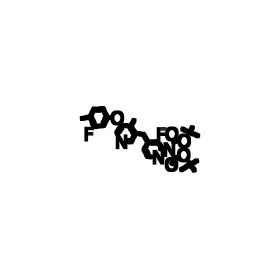 Cc1ccc(Oc2cncc(Cc3ccnc(N(C(=O)OC(C)(C)C)C(=O)OC(C)(C)C)c3F)c2C)cc1F